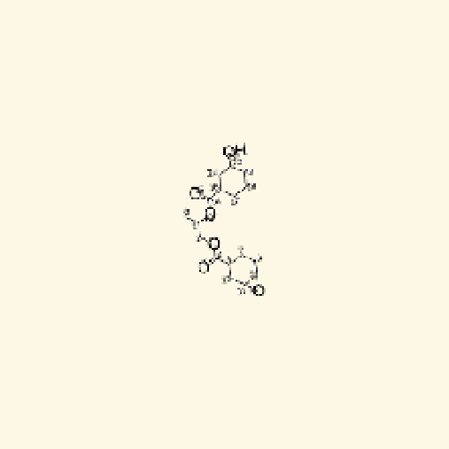 CC(COC(=O)C1CCC2OC2C1)OC(=O)C1CCCC(O)C1